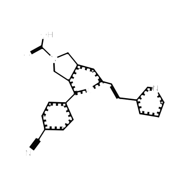 N#Cc1ccc(-c2cc(C=Cc3cccnc3)cc3c2CN(C(=O)O)C3)cc1